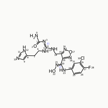 NC(=O)/N=C(\NCCc1cnc[nH]1)NCc1nonc1/C(=N/O)Nc1ccc(F)c(Cl)c1